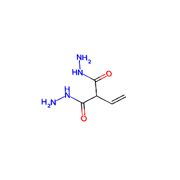 C=CC(C(=O)NN)C(=O)NN